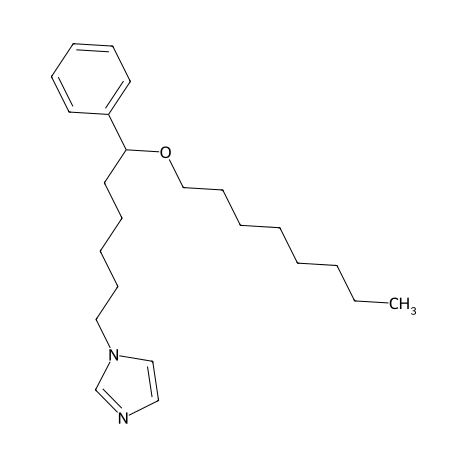 CCCCCCCCOC(CCCCCn1ccnc1)c1ccccc1